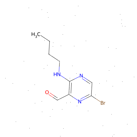 CCCCNc1ncc(Br)nc1C=O